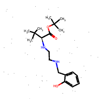 CC(C)(C)OC(=O)[C@@H](NCCNCc1ccccc1O)C(C)(C)C